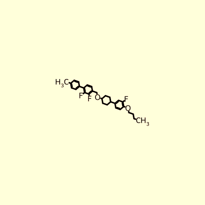 CCCCOc1ccc(C2CCC(OCc3ccc(-c4ccc(C)cc4)c(F)c3F)CC2)cc1F